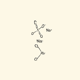 O=S(=O)([O-])[O-].[Cl][Pb][Cl].[Na+].[Na+]